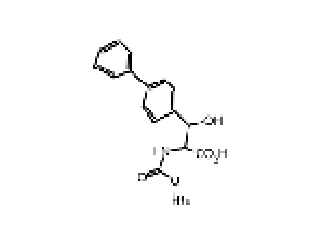 CC(C)(C)OC(=O)NC(C(=O)O)C(O)c1ccc(-c2ccccc2)cc1